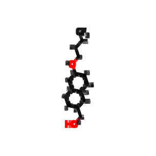 OCc1ccc2cc(OCCCC(F)(F)F)ccc2c1